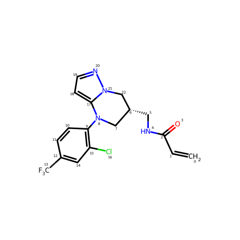 C=CC(=O)NC[C@@H]1CN(c2ccc(C(F)(F)F)cc2Cl)c2ccnn2C1